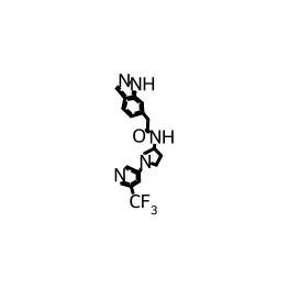 O=C(Cc1ccc2cn[nH]c2c1)NC1CCN(c2cncc(C(F)(F)F)c2)C1